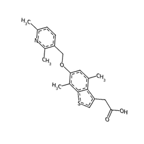 Cc1ccc(COc2cc(C)c3c(CC(=O)O)csc3c2C)c(C)n1